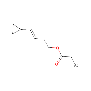 CC(=O)CC(=O)OCCC=CC1CC1